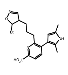 CCC1ON=CC1CCCc1nc(C(=O)O)ccc1-c1cc(C)[nH]c1C